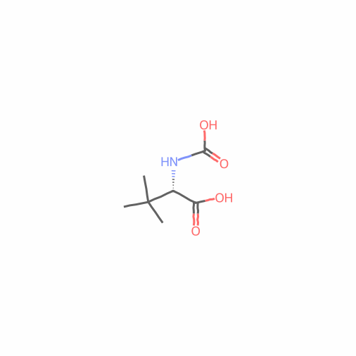 CC(C)(C)[C@H](NC(=O)O)C(=O)O